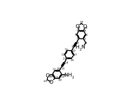 NCc1cc2c(cc1C#Cc1ccc(C#Cc3cc4c(cc3N)OCO4)cc1)OCO2